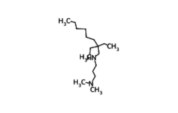 CCCCCCC(CC)(CC)CNCCCN(C)C